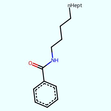 CCCCCCCCCCCNC(=O)c1ccccc1